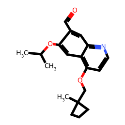 CC(C)Oc1cc2c(OCC3(C)CCC3)ccnc2cc1C=O